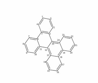 [c]1[c]c2c(cc1)c1ccccc1c1c3ccccc3c3ccccc3c21